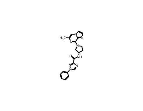 Cc1cn2ccnc2c(N2CC[C@H](NC(=O)c3ncn(-c4ccccc4)n3)C2)n1